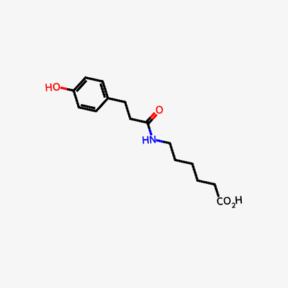 O=C(O)CCCCCNC(=O)CCc1ccc(O)cc1